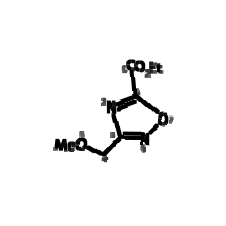 CCOC(=O)c1nc(COC)no1